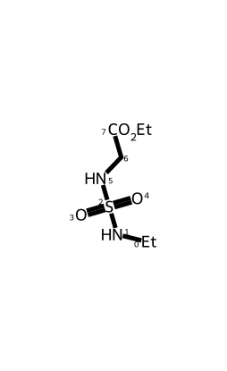 CCNS(=O)(=O)NCC(=O)OCC